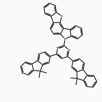 CC1(C)c2ccccc2-c2ccc(-c3cc(-c4ccc5c(c4)C(C)(C)c4ccccc4-5)nc(-n4c5ccccc5c5c6oc7ccccc7c6ccc54)n3)cc21